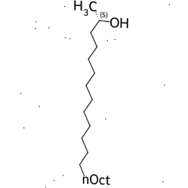 CCCCCCCCCCCCCCCCCCC[C@H](C)O